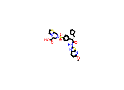 COc1ccc2nc(NC(=O)[C@@H](CC3CCCC3)c3ccc(S(=O)(=O)N(CCC(=O)O)Cc4nccs4)cc3)sc2n1